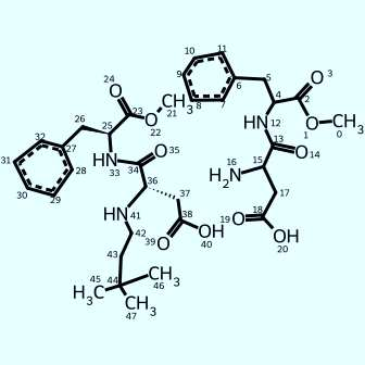 COC(=O)C(Cc1ccccc1)NC(=O)C(N)CC(=O)O.COC(=O)[C@H](Cc1ccccc1)NC(=O)[C@H](CC(=O)O)NCCC(C)(C)C